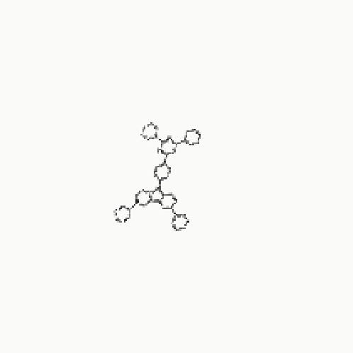 c1ccc(-c2ccc3c(c2)c2cc(-c4ccccc4)ccc2n3-c2ccc(-c3cc(-c4ccccc4)nc(-c4ccccc4)n3)cc2)cc1